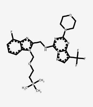 CS(C)(C)CCOCn1c(CNc2nc(N3CCOCC3)nc3c(C(F)(F)F)cnn23)nc2c(F)cccc21